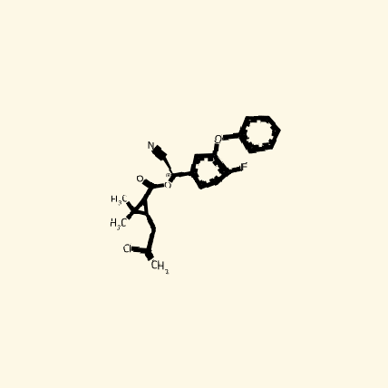 C=C(Cl)CC1C(C(=O)O[C@@H](C#N)c2ccc(F)c(Oc3ccccc3)c2)C1(C)C